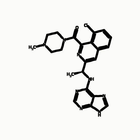 C[C@H](Nc1ncnc2[nH]cnc12)c1cc2cccc(Cl)c2c(C(=O)N2CCN(C)CC2)n1